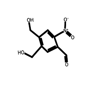 O=Cc1cc(CO)c(CO)cc1[N+](=O)[O-]